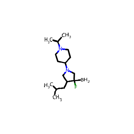 BC1(F)CN(C2CCN(C(C)C)CC2)CC1CC(C)C